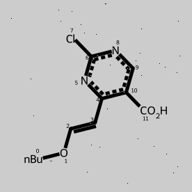 CCCCOC=Cc1nc(Cl)ncc1C(=O)O